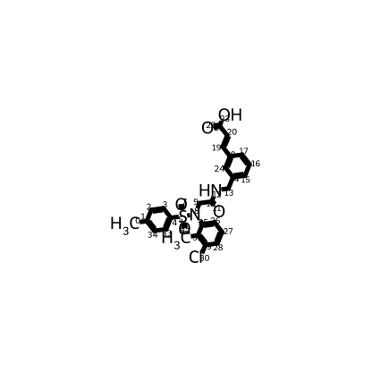 Cc1ccc(S(=O)(=O)N(CC(=O)NCc2cccc(C=CC(=O)O)c2)c2cccc(Cl)c2C)cc1